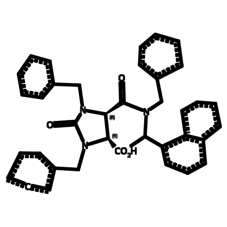 CC(c1cccc2ccccc12)N(Cc1ccccc1)C(=O)[C@H]1[C@@H](C(=O)O)N(Cc2ccccc2)C(=O)N1Cc1ccccc1